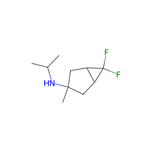 CC(C)NC1(C)CC2C(C1)C2(F)F